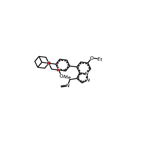 C=NCc1cnn2cc(OCC)cc(-c3ccc(N4CC5CC(C4)C5OCCOC)nc3)c12